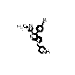 Cn1cc(-c2ncc3c(ccn3CC3CCNCC3)c2-c2ccc(C#N)cc2)cn1